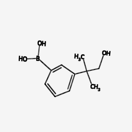 CC(C)(CO)c1cccc(B(O)O)c1